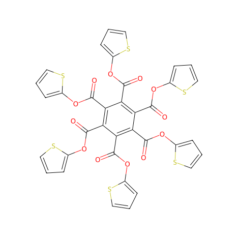 O=C(Oc1cccs1)c1c(C(=O)Oc2cccs2)c(C(=O)Oc2cccs2)c(C(=O)Oc2cccs2)c(C(=O)Oc2cccs2)c1C(=O)Oc1cccs1